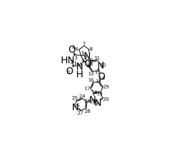 O=C1NC(=O)C2(CCCN2c2ccc(Oc3ccc4c(cnn4-c4ccncc4)c3)nc2)C(=O)N1